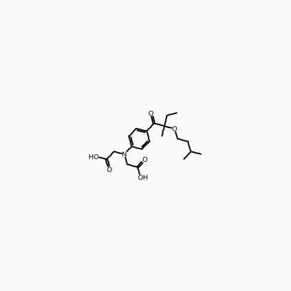 CCC(C)(OCCC(C)C)C(=O)c1ccc(N(CC(=O)O)CC(=O)O)cc1